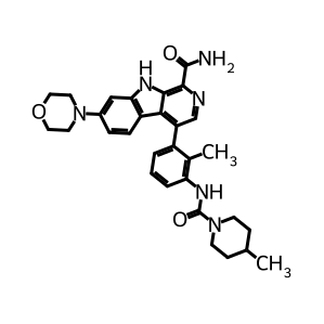 Cc1c(NC(=O)N2CCC(C)CC2)cccc1-c1cnc(C(N)=O)c2[nH]c3cc(N4CCOCC4)ccc3c12